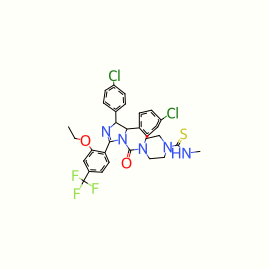 CCOc1cc(C(F)(F)F)ccc1C1=NC(c2ccc(Cl)cc2)C(c2ccc(Cl)cc2)N1C(=O)N1CCN(C(=S)NC)CC1